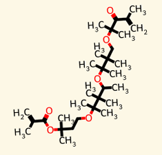 C=C(C)C(=O)OC(C)(C)CCOC(C)(C)C(C)(C)C(C)OC(C)(C)C(C)(C)COC(C)(C)C(=O)C(=C)C